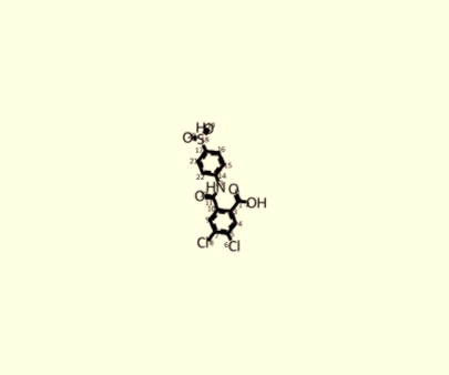 O=C(O)c1cc(Cl)c(Cl)cc1C(=O)Nc1ccc([SH](=O)=O)cc1